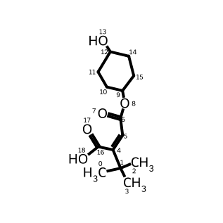 CC(C)(C)C(=CC(=O)OC1CCC(O)CC1)C(=O)O